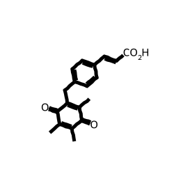 CC1=C(C)C(=O)C(Cc2ccc(C=CC(=O)O)cc2)=C(C)C1=O